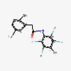 Cc1ccc(C)c(CC(=O)Nc2c(F)c(F)c(C(F)(F)F)c(F)c2F)c1